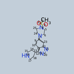 CS(=O)(=O)N1CCN(c2ccc3c(C4CCNCC4)ncnc3c2)CC1